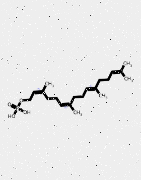 CC(C)=CCC/C(C)=C/CC/C(C)=C\CC/C(C)=C\COP(=O)(O)O